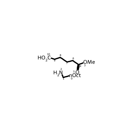 CCCCCCCCCN.COC(=O)CCCCC(=O)O